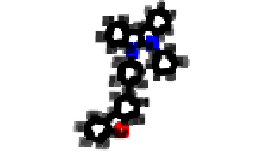 c1ccc(N2c3ccccc3C3c4ccccc4N(c4ccc(-c5ccc6oc7ccccc7c6c5)cc4)C32)cc1